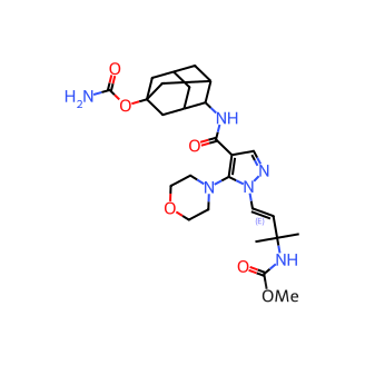 COC(=O)NC(C)(C)/C=C/n1ncc(C(=O)NC2C3CC4CC2CC(OC(N)=O)(C4)C3)c1N1CCOCC1